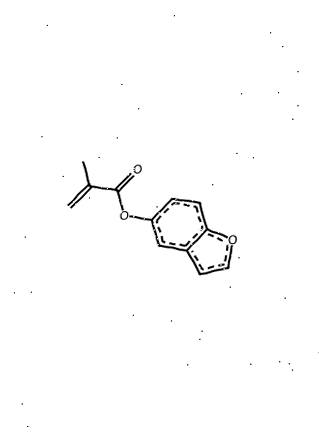 C=C(C)C(=O)Oc1ccc2occc2c1